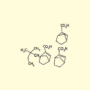 CCC(C)(C)C.O=C(O)C1=CC2CCC1C2.O=C(O)C1=CC2CCC1C2.O=C(O)C1=CC2CCC1C2